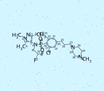 Cc1nn(C)c(C)c1N(CC(F)F)S(=O)(=O)c1c(Cl)cc(CCCN2CCN(C)CC2)cc1Cl